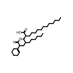 CCCCCCCCCCCCC(CC(CCCCCC)CC(C(=O)O)C1=CCCCC1)C(=O)O